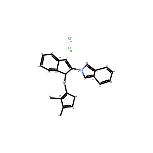 CC1=CC[C]([Ti+2][CH]2C(n3cc4ccccc4c3)=Cc3ccccc32)=C1C.[Cl-].[Cl-]